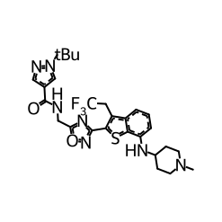 CN1CCC(Nc2cccc3c(CC(F)(F)F)c(-c4noc(CNC(=O)c5cnn(C(C)(C)C)c5)n4)sc23)CC1